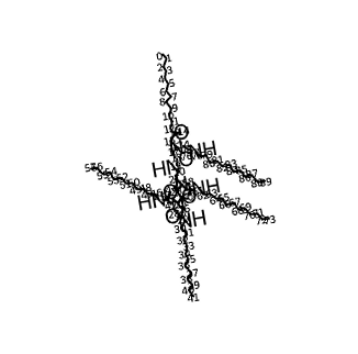 CCCCCCCCCCCCCC(=O)CN(CCNCCN(CCN(CC(=O)NCCCCCCCCCCCC)CC(=O)NCCCCCCCCCCCC)CC(=O)NCCCCCCCCCCCC)CC(=O)NCCCCCCCCCCCC